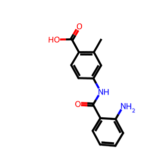 Cc1cc(NC(=O)c2ccccc2N)ccc1C(=O)O